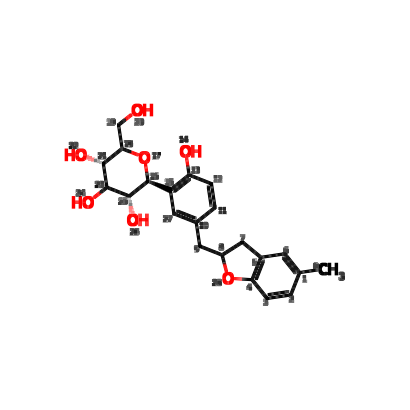 Cc1ccc2c(c1)CC(Cc1ccc(O)c([C@@H]3OC(CO)[C@@H](O)C(O)[C@H]3O)c1)O2